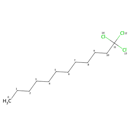 CCCCCCCCCCCC(Cl)(Cl)Cl